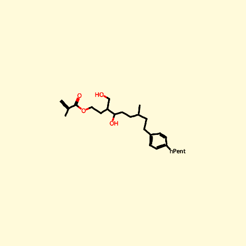 C=C(C)C(=O)OCCC(CO)C(O)CCC(C)CCc1ccc(CCCCC)cc1